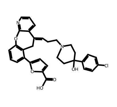 O=C(O)c1ccc(-c2cccc3c2CC(=CCCN2CCC(O)(c4ccc(Cl)cc4)CC2)c2cccnc2O3)o1